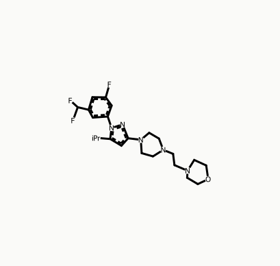 CC(C)c1cc(N2CCN(CCN3CCOCC3)CC2)nn1-c1cc(F)cc(C(F)F)c1